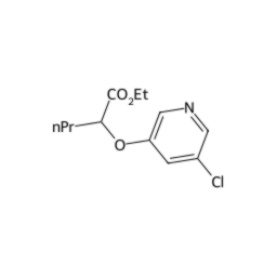 CCCC(Oc1cncc(Cl)c1)C(=O)OCC